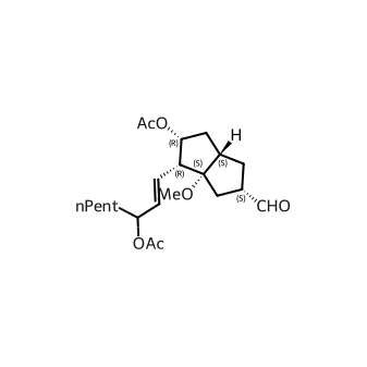 CCCCCC(C=C[C@@H]1[C@H](OC(C)=O)C[C@@H]2C[C@H](C=O)C[C@]21OC)OC(C)=O